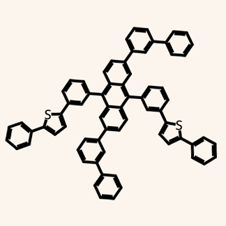 c1ccc(-c2cccc(-c3ccc4c(-c5cccc(-c6ccc(-c7ccccc7)s6)c5)c5cc(-c6cccc(-c7ccccc7)c6)ccc5c(-c5cccc(-c6ccc(-c7ccccc7)s6)c5)c4c3)c2)cc1